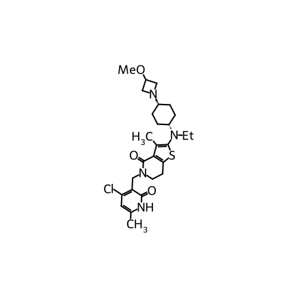 CCN(c1sc2c(c1C)C(=O)N(Cc1c(Cl)cc(C)[nH]c1=O)CC2)[C@H]1CC[C@H](N2CC(OC)C2)CC1